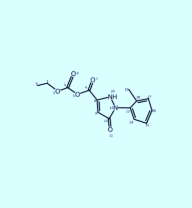 CCOC(=O)OC(=O)c1cc(=O)n(-c2ccccc2C)[nH]1